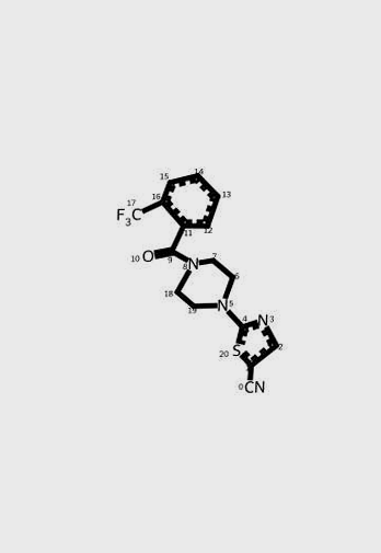 N#Cc1cnc(N2CCN(C(=O)c3ccccc3C(F)(F)F)CC2)s1